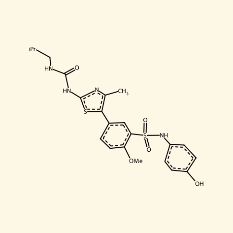 COc1ccc(-c2sc(NC(=O)NCC(C)C)nc2C)cc1S(=O)(=O)Nc1ccc(O)cc1